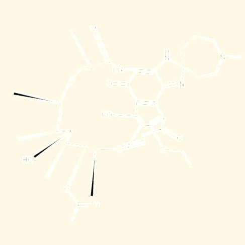 CCOc1c(C)c(O)c2c3c1C(=O)C/C=C/C[C@@H](C)[C@@H](OC(C)=O)[C@H](C)[C@H](O)[C@H](C)C[C@@H](C)/C=C/C=C(/C)C(=O)NC(=C1N[C@]4(CCCN(C)CC4)N=C13)C2=O